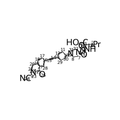 CC(C)[C@@H](NS(=O)(=O)N1CCN(c2ccc(C#Cc3ccc4ccn(CC#N)c(=O)c4c3)cc2)CC1)C(=O)O